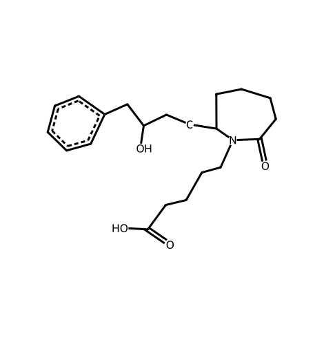 O=C(O)CCCCN1C(=O)CCCCC1CCC(O)Cc1ccccc1